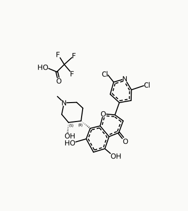 CN1CC[C@H](c2c(O)cc(O)c3c(=O)cc(-c4cc(Cl)nc(Cl)c4)oc23)[C@H](O)C1.O=C(O)C(F)(F)F